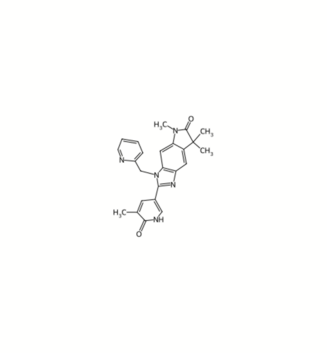 Cc1cc(-c2nc3cc4c(cc3n2Cc2ccccn2)N(C)C(=O)C4(C)C)c[nH]c1=O